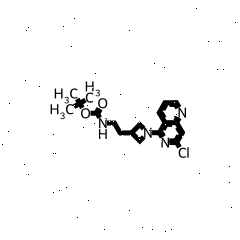 CC(C)(C)OC(=O)NCCC1CN(c2nc(Cl)cc3ncccc23)C1